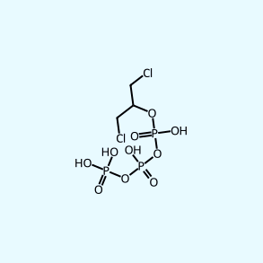 O=P(O)(O)OP(=O)(O)OP(=O)(O)OC(CCl)CCl